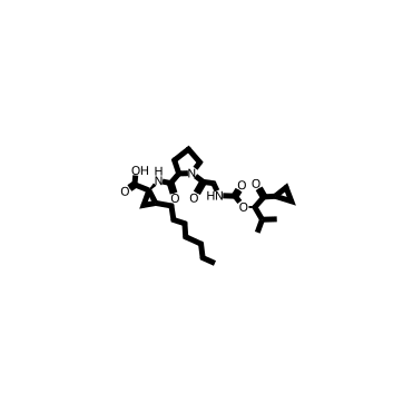 CCCCCCCC1C[C@]1(NC(=O)C1CCCN1C(=O)CNC(=O)O[C@H](C(=O)C1CC1)C(C)C)C(=O)O